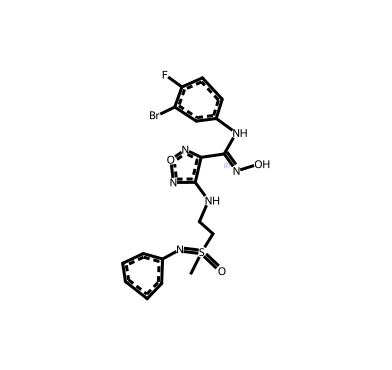 CS(=O)(CCNc1nonc1/C(=N/O)Nc1ccc(F)c(Br)c1)=Nc1ccccc1